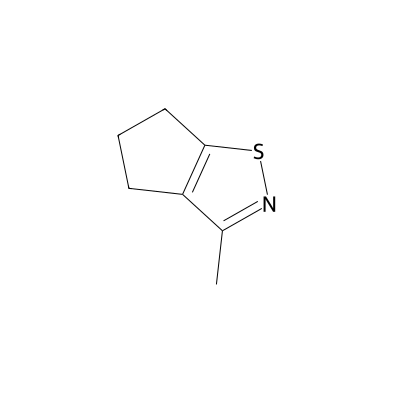 Cc1nsc2c1CCC2